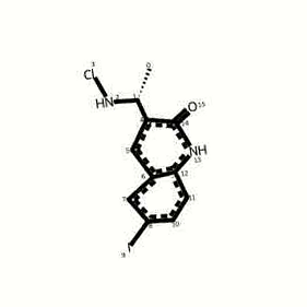 C[C@@H](NCl)c1cc2cc(I)ccc2[nH]c1=O